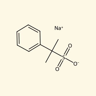 CC(C)(c1ccccc1)S(=O)(=O)[O-].[Na+]